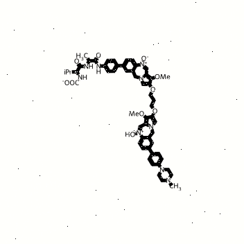 COc1c(OCCCOc2cn3c(c2OC)C=[N+](O)C2=CC=C(c4ccc(N5CCN(C)CC5)cc4)CC2C3)cn2c1C=[N+]([O-])C1=CC=C(c3ccc(NC(=O)C(C)NC(=O)C(NC(=O)[O-])C(C)C)cc3)CC1C2